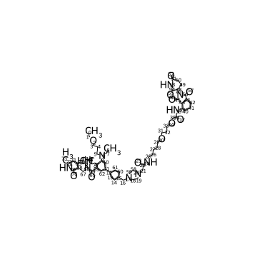 CCOCCCN(CC)c1cc(-c2ccc(CN3CCN(CC(=O)NCCCCCOCCCOCC(=O)Nc4cccc5c4C(=O)N(C4CCC(=O)NC4=O)C5=O)CC3)cc2)cc(C(=O)NCc2c(C)cc(C)[nH]c2=O)c1C